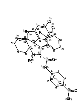 CCN1[C@@H](C(=O)NC23CCC(C(=O)S)(CC2)CC3)[C@H](c2cccc(Cl)c2F)[C@]2(C(=O)Nc3cc(Cl)ccc32)C12CCCCC2